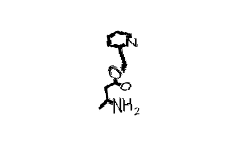 CC(N)CC(=O)OCc1ccccn1